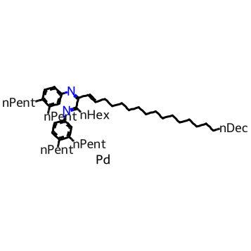 CCCCCCCCCCCCCCCCCCCCCCCCC=CC(=Nc1ccc(CCCCC)c(CCCCC)c1)C(CCCCCC)=Nc1ccc(CCCCC)c(CCCCC)c1.[Pd]